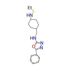 CCSNC1CCC(CNc2nnc(-c3ccccc3)o2)CC1